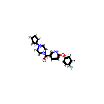 O=C(c1ccc(Oc2ccc(F)cc2)nc1)N1CCN(C2CCCC2)CC1